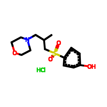 CC(CN1CCOCC1)CS(=O)(=O)c1ccc(O)cc1.Cl